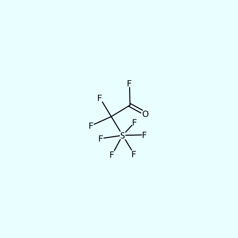 O=C(F)C(F)(F)S(F)(F)(F)(F)F